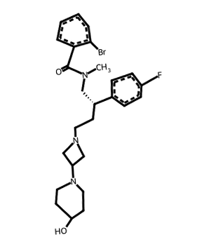 CN(C[C@@H](CCN1CC(N2CCC(O)CC2)C1)c1ccc(F)cc1)C(=O)c1ccccc1Br